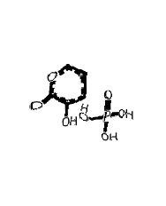 O=P(O)(O)O.O=c1occcc1O